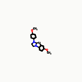 COc1ccc(N2CCN3c4ccc(OC)c[c]4[Lr][CH]23)cc1